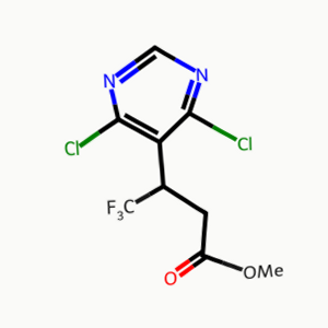 COC(=O)CC(c1c(Cl)ncnc1Cl)C(F)(F)F